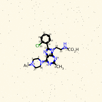 CC(=O)N1CCN(c2nc(C)nc3c2nc(-c2ccccc2Cl)n3CCNC(=O)O)CC1